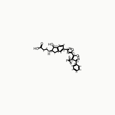 O=C(O)CCNC1Cc2cc(-c3noc(-c4onc(-c5ccccc5)c4C(F)(F)F)n3)ccc2C1O